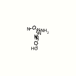 N#Cc1cccc(-c2cc(-c3cn(Cc4cccc(CO)c4)nn3)nc(N)n2)c1